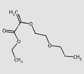 C=C(OCCOCCC)C(=O)OCC